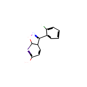 OC1=IC2ON=C(c3ccccc3F)C2C=C1